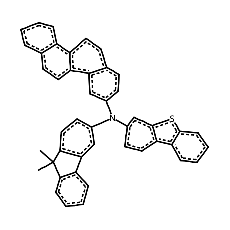 CC1(C)c2ccccc2-c2cc(N(c3ccc4c(c3)sc3ccccc34)c3ccc4ccc5c6ccccc6ccc5c4c3)ccc21